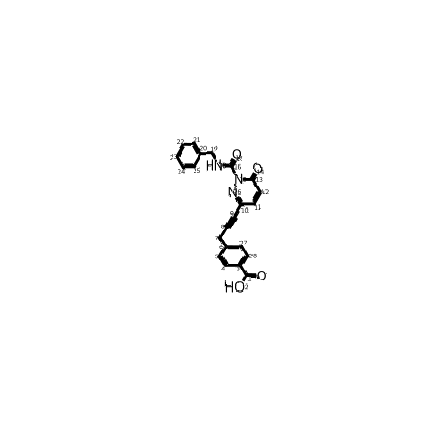 O=C(O)c1ccc(CC#Cc2ccc(=O)n(C(=O)NCc3ccccc3)n2)cc1